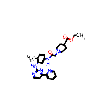 CCOC(=O)C1CCN(CC(=O)Nc2ccc(C)c(Nc3nccc(-c4ccccn4)n3)c2)CC1